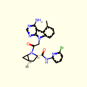 Cc1cccc2c1c1c(N)ncnc1n2CC(=O)N1C2C[C@@H]2C[C@H]1C(=O)Nc1cccc(Br)n1